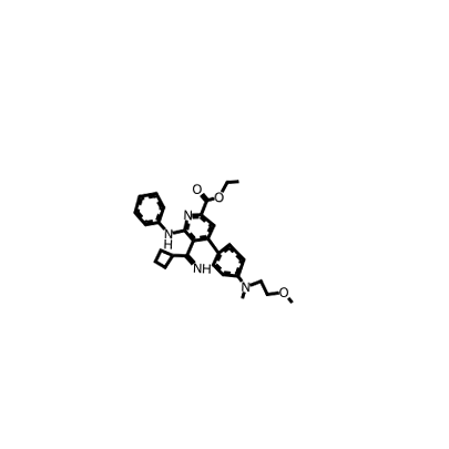 CCOC(=O)c1cc(-c2ccc(N(C)CCOC)cc2)c(C(=N)C2CCC2)c(Nc2ccccc2)n1